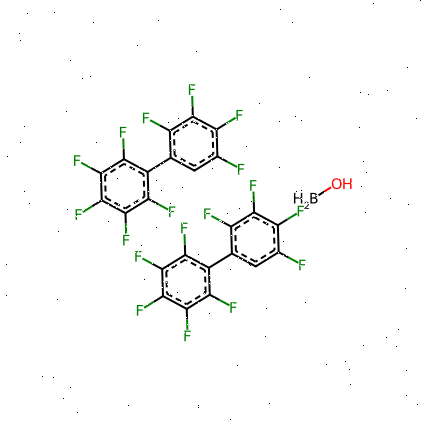 BO.Fc1cc(-c2c(F)c(F)c(F)c(F)c2F)c(F)c(F)c1F.Fc1cc(-c2c(F)c(F)c(F)c(F)c2F)c(F)c(F)c1F